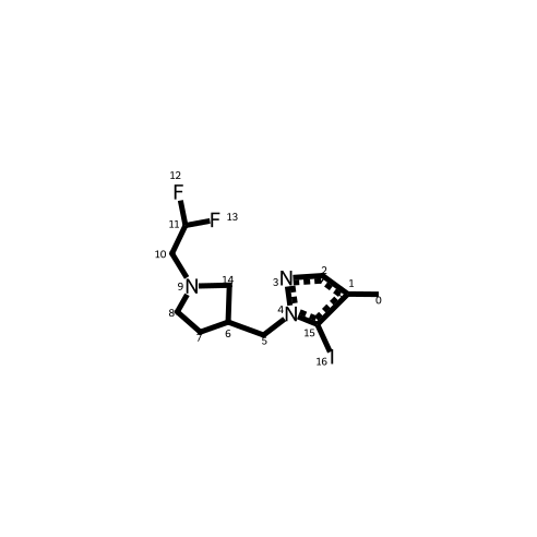 Cc1cnn(CC2CCN(CC(F)F)C2)c1I